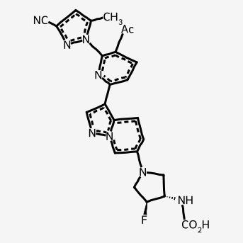 CC(=O)c1ccc(-c2cnn3cc(N4C[C@H](NC(=O)O)[C@@H](F)C4)ccc23)nc1-n1nc(C#N)cc1C